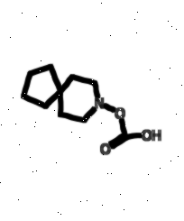 O=C(O)ON1CCC2(CCCC2)CC1